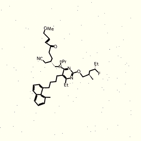 CCCN(C[C@H](CC#N)CCC(=O)/C=C/COC)c1nc(OC[C@H](C)C[C@@H](F)CC)nc(CC)c1CCCCc1cccc2cccc(C)c12